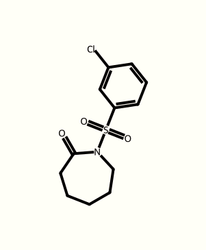 O=C1CCCCCN1S(=O)(=O)c1cccc(Cl)c1